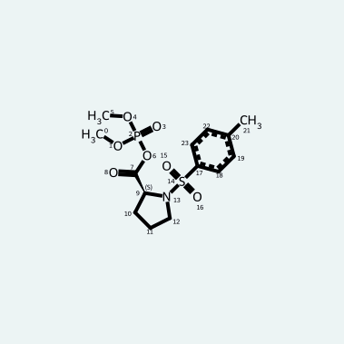 COP(=O)(OC)OC(=O)[C@@H]1CCCN1S(=O)(=O)c1ccc(C)cc1